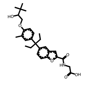 CCC(CC)(c1ccc(OCC(O)C(C)(C)C)c(C)c1)c1ccc2oc(C(=O)NCC(=O)O)cc2c1